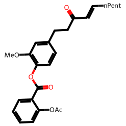 CCCCC/C=C/C(=O)CCc1ccc(OC(=O)c2ccccc2OC(C)=O)c(OC)c1